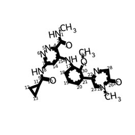 CNC(=O)c1nnc(NC(=O)C2CC2)cc1Nc1cccc(-c2cn(C)c(=O)cn2)c1OC